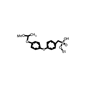 CCOP(=O)(O)Cc1ccc(Sc2ccc(OC(C)OC)cc2)cc1